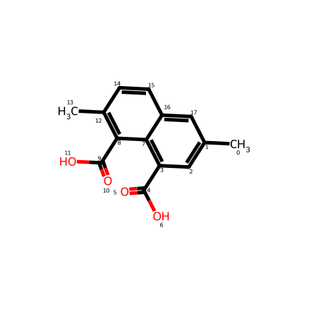 Cc1cc(C(=O)O)c2c(C(=O)O)c(C)ccc2c1